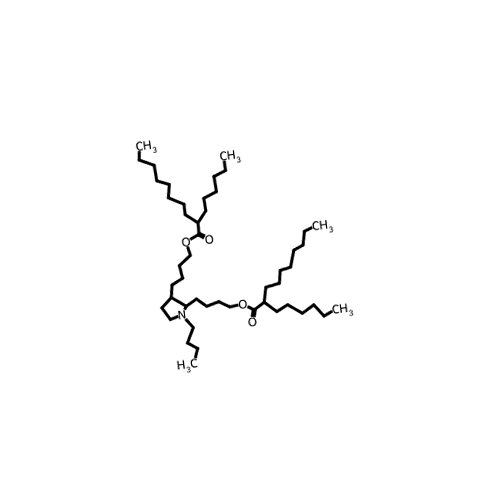 CCCCCCCCC(CCCCCC)C(=O)OCCCCC1CCN(CCCC)C1CCCCOC(=O)C(CCCCCC)CCCCCCCC